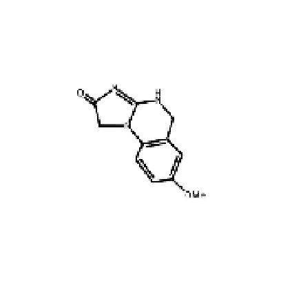 COc1ccc2c(c1)CNC1=NC(=O)CN12